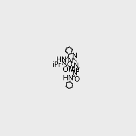 COC(=O)[C@@H](Nc1nc(CN2CCN(C(=O)Nc3ccccc3)CC2)nc2ccccc12)C(C)C